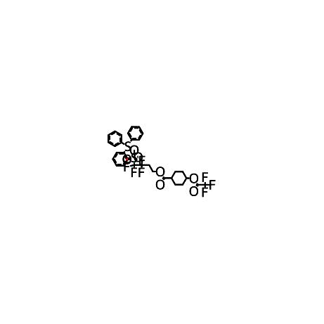 O=C(OCCC(F)(F)C(F)(F)S(=O)(=O)OS(c1ccccc1)(c1ccccc1)c1ccccc1)C1CCC(OC(=O)C(F)(F)F)CC1